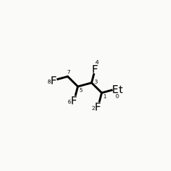 CCC(F)C(F)C(F)CF